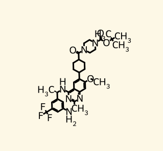 COc1cc2nc(C)nc(N[C@H](C)c3cc(N)cc(C(F)(F)F)c3)c2cc1C1CCC(C(=O)N2CCN(C(=O)OC(C)(C)C)CC2)CC1